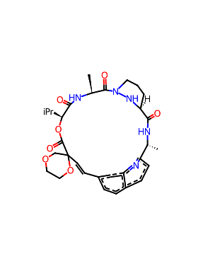 CC(C)[C@@H]1OC(=O)C2(/C=C/c3ccc4ccc(nc4c3)[C@@H](C)NC(=O)[C@@H]3CCCN(N3)C(=O)[C@H](C)NC1=O)COCCO2